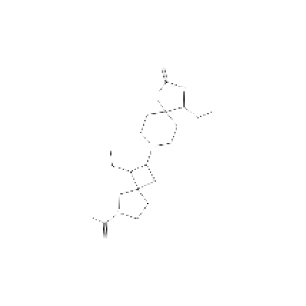 CCC1C(N2CCC3(CC2)OC(=O)NC3CC)CC12CCN(C(=O)O)C2